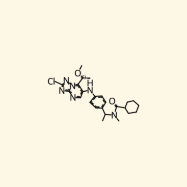 CO[C@@H](C)c1c(Nc2ccc(C(C)N(C)C(=O)C3CCCCC3)cc2)cnc2nc(Cl)nn12